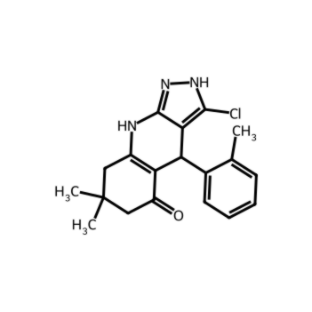 Cc1ccccc1C1C2=C(CC(C)(C)CC2=O)Nc2n[nH]c(Cl)c21